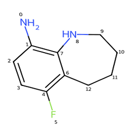 Nc1ccc(F)c2c1NCCCC2